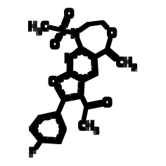 C=C1OCCN(S(C)(=O)=O)c2nc3oc(-c4ccc(F)cc4)c(C(C)=O)c3cc21